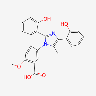 COc1ccc(-n2c(-c3ccccc3O)nc(-c3ccccc3O)c2C)cc1C(=O)O